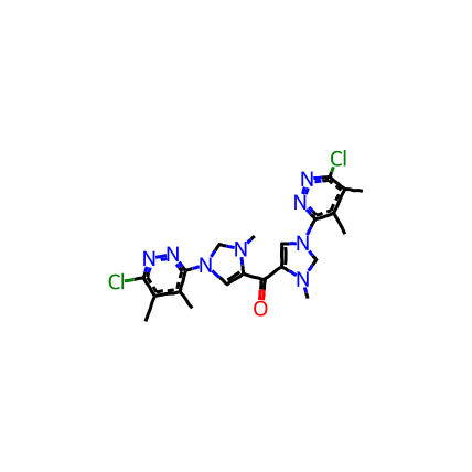 Cc1c(Cl)nnc(N2C=C(C(=O)C3=CN(c4nnc(Cl)c(C)c4C)CN3C)N(C)C2)c1C